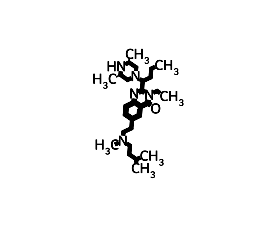 CCCC(c1nc2ccc(CCN(C)CCC(C)C)cc2c(=O)n1CC)N1C[C@@H](C)N[C@@H](C)C1